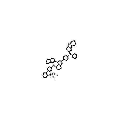 CC1(C)c2ccccc2-c2ccc(N3c4c(ccc5ccccc45)-c4cc(-c5ccc(N(c6ccccc6)c6ccc7sc8ccccc8c7c6)cc5)cc5cccc3c45)cc21